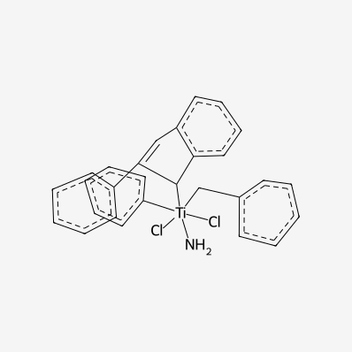 [NH2][Ti]([Cl])([Cl])([CH2]c1ccccc1)([c]1ccccc1)[CH]1C(c2ccccc2)=Cc2ccccc21